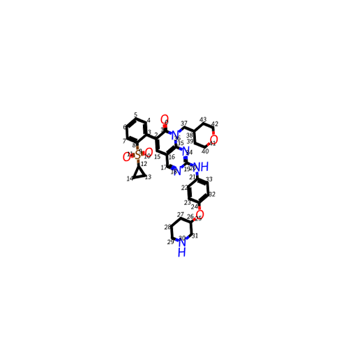 O=c1c(-c2ccccc2S(=O)(=O)C2CC2)cc2cnc(Nc3ccc(OC4CCCNC4)cc3)nc2n1CC1CCOCC1